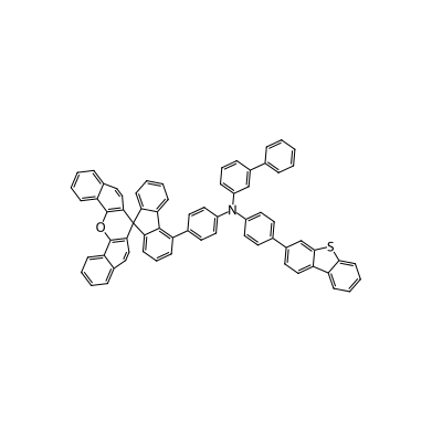 c1ccc(-c2cccc(N(c3ccc(-c4ccc5c(c4)sc4ccccc45)cc3)c3ccc(-c4cccc5c4-c4ccccc4C54c5ccc6ccccc6c5Oc5c4ccc4ccccc54)cc3)c2)cc1